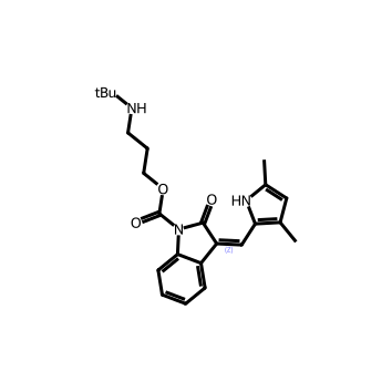 Cc1cc(C)c(/C=C2\C(=O)N(C(=O)OCCCNC(C)(C)C)c3ccccc32)[nH]1